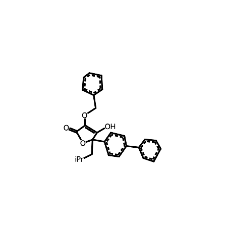 CC(C)CC1(c2ccc(-c3ccccc3)cc2)OC(=O)C(OCc2ccccc2)=C1O